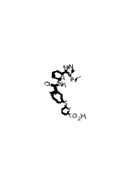 CC(C)n1cnnc1-c1cccc(NC(=O)c2cccc(Sc3cccc(C(=O)O)n3)c2)n1